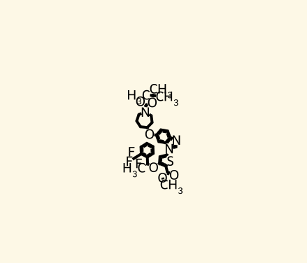 COC(=O)c1sc(-n2cnc3ccc(OC4CCCN(C(=O)OC(C)(C)C)CC4)cc32)cc1O[C@H](C)c1ccccc1C(F)(F)F